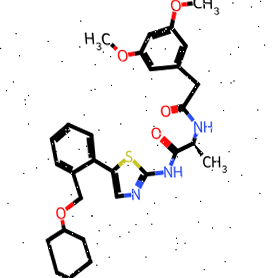 COc1cc(CC(=O)N[C@@H](C)C(=O)Nc2ncc(-c3ccccc3COC3CCCCC3)s2)cc(OC)c1